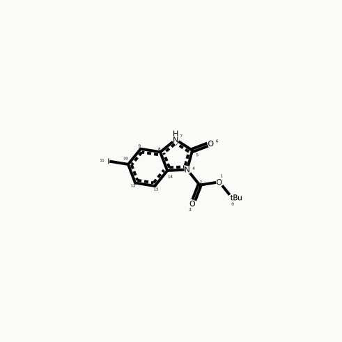 CC(C)(C)OC(=O)n1c(=O)[nH]c2cc(I)ccc21